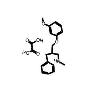 CNCC(COc1cccc(OC)c1)Cc1ccccc1.O=C(O)C(=O)O